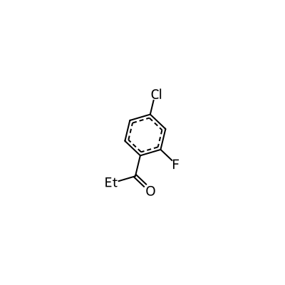 CCC(=O)c1ccc(Cl)cc1F